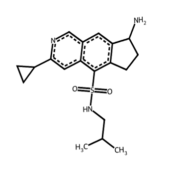 CC(C)CNS(=O)(=O)c1c2c(cc3cnc(C4CC4)cc13)C(N)CC2